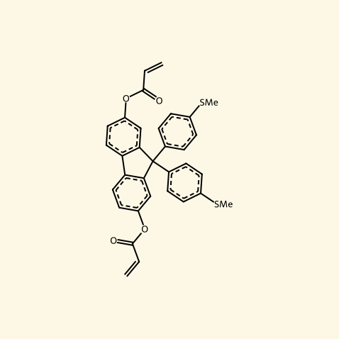 C=CC(=O)Oc1ccc2c(c1)C(c1ccc(SC)cc1)(c1ccc(SC)cc1)c1cc(OC(=O)C=C)ccc1-2